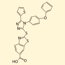 O=C(O)c1ccc2nc(Sc3nnc(-c4cccs4)n3-c3ccc(Oc4ccccc4)cc3)sc2c1